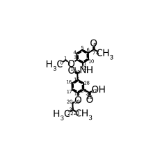 CCOc1ccc(C(C)=O)cc1NC(=O)c1ccc(OCC(C)C)c(C(=O)O)c1